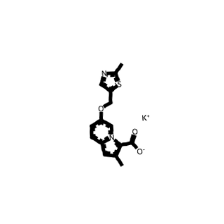 Cc1ncc(COc2ccc3cc(C)c(C(=O)[O-])n3c2)s1.[K+]